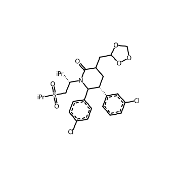 CC(C)[C@@H](CS(=O)(=O)C(C)C)N1C(=O)C(CC2OCOO2)C[C@H](c2cccc(Cl)c2)C1c1ccc(Cl)cc1